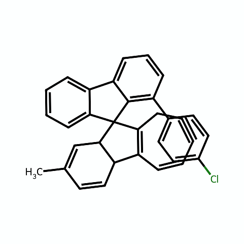 CC1=CC2C(C=C1)C1=C(CC#CC=C1)C21c2ccccc2-c2cccc(-c3ccc(Cl)cc3)c21